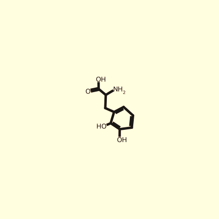 NC(Cc1cccc(O)c1O)C(=O)O